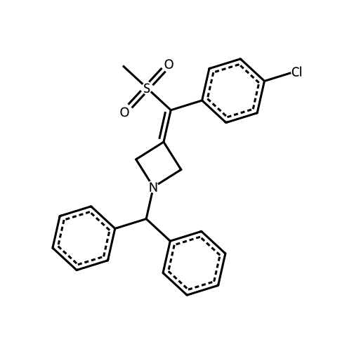 CS(=O)(=O)C(=C1CN(C(c2ccccc2)c2ccccc2)C1)c1ccc(Cl)cc1